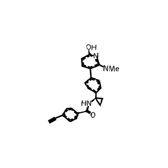 C#Cc1ccc(C(=O)NC2(c3ccc(-c4ccc(O)nc4NC)cc3)CC2)cc1